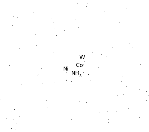 N.[Co].[Ni].[W]